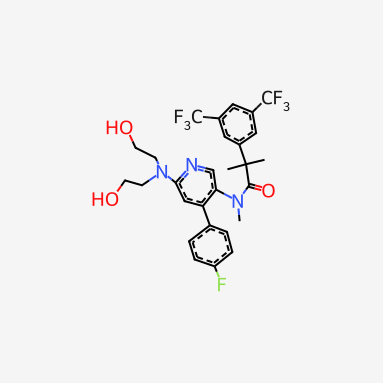 CN(C(=O)C(C)(C)c1cc(C(F)(F)F)cc(C(F)(F)F)c1)c1cnc(N(CCO)CCO)cc1-c1ccc(F)cc1